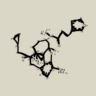 CN(C(=O)/C=C/c1ccoc1)[C@H]1CC[C@H]2[C@H]3Cc4ccc(O)c5c4[C@@]2(CCN3CC2CC2)[C@H]1O5.Cl